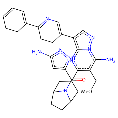 COCc1c(C2CC3CCC(C2)N3C(=O)c2cc(N)n[nH]2)nc2c(C3=CN=C(C4=CC=CCC4)CC3)cnn2c1N